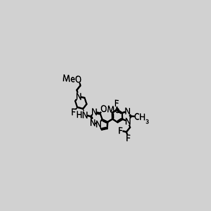 COCCN1CC[C@H](Nc2nc(OC)c3c(-c4cc(F)c5nc(C)n(CC(F)F)c5c4)ccn3n2)[C@@H](F)C1